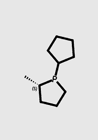 C[C@H]1CCCP1C1CCCC1